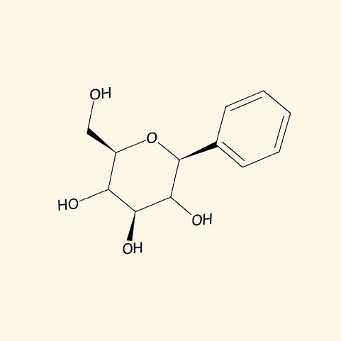 OC[C@H]1O[C@@H](c2ccccc2)C(O)[C@@H](O)C1O